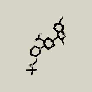 CC(C)(C)NC[C@H]1CCCN(c2ccc(-c3c(F)sc4cc(Cl)ccc34)cc2C(=O)O)C1